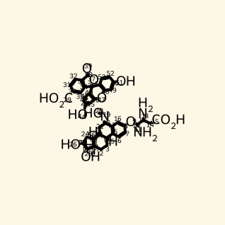 C[C@]12CC[C@@H]3c4ccc(OC(N)C(N)CC(=O)O)cc4C(=NO)C[C@H]3[C@@H]1C[C@@H](O)[C@@H]2O.O=C(O)c1ccc2c(c1)C1(OC2=O)c2ccc(O)cc2Oc2cc(O)ccc21